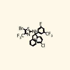 Fc1cc(C(F)(F)F)cc(C(Cc2ccccc2)(Nc2nc(C(F)(F)F)c(Br)s2)c2ccc(Cl)cn2)c1